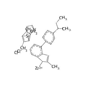 CC1=C2C3=CC=NC3=C1[Si]2(C)C.CCC(C)c1ccc(-c2cccc3c2C=C(C)[CH]3[Zr+2])cc1.[Cl-].[Cl-]